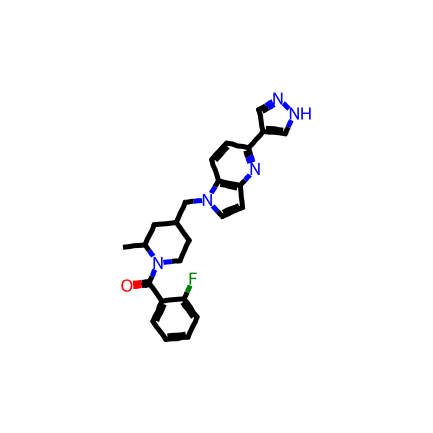 CC1CC(Cn2ccc3nc(-c4cn[nH]c4)ccc32)CCN1C(=O)c1ccccc1F